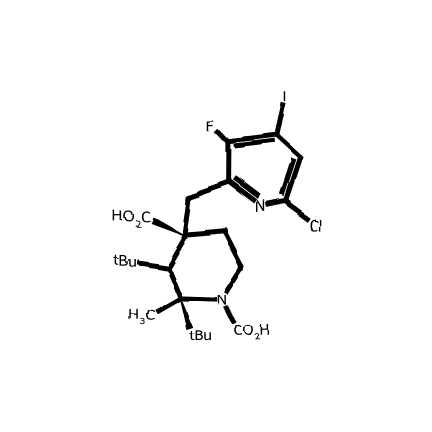 CC(C)(C)C1[C@@](Cc2nc(Cl)cc(I)c2F)(C(=O)O)CCN(C(=O)O)[C@@]1(C)C(C)(C)C